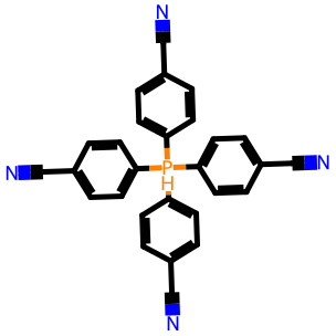 N#Cc1ccc([PH](c2ccc(C#N)cc2)(c2ccc(C#N)cc2)c2ccc(C#N)cc2)cc1